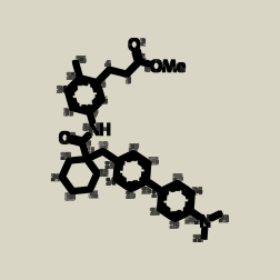 COC(=O)CCc1cc(NC(=O)C2(Cc3ccc(-c4ccc(N(C)C)cc4)cc3)CCCCC2)ccc1C